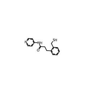 O=C(CCc1ccccc1CS)Nc1ccncc1